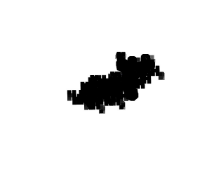 CN(C)c1ccc(/C=C\CN(c2cc(N)c([N+](=O)[O-])cc2[N+](=O)[O-])C(O)C(=O)NC(C(=O)NC(NC(=N)N)C(=O)NC(NC(=N)N)C(=O)NC(NC(=N)N)C(=O)NC(NC(=N)N)C(N)=O)c2ccccc2)cc1